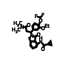 CCOc1cc(C(CC(=O)N(C)C)N2Cc3cccc(NC(=O)C4CC4)c3C2=O)ccc1OC(F)F